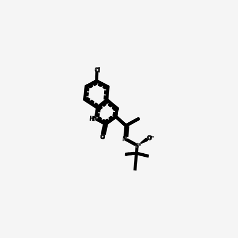 C/C(=N\[S@@+]([O-])C(C)(C)C)c1cc2cc(Cl)ccc2[nH]c1=O